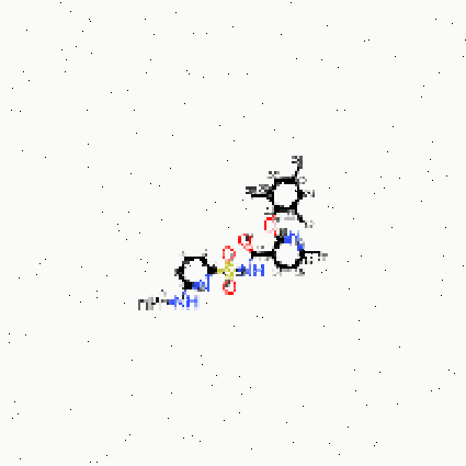 CCCNc1cccc(S(=O)(=O)NC(=O)c2ccc(C)nc2Oc2c(C)cc(C)cc2C)n1